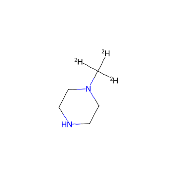 [2H]C([2H])([2H])N1CCNCC1